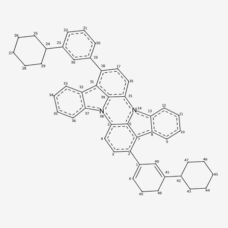 C1=C(c2ccc3c4c2c2ccccc2n4c2ccc(-c4cccc(C5CCCCC5)c4)c4c5ccccc5n3c42)C=C(C2CCCCC2)CC1